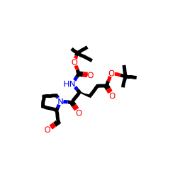 CC(C)(C)OC(=O)CC[C@H](NC(=O)OC(C)(C)C)C(=O)N1CCCC1C=O